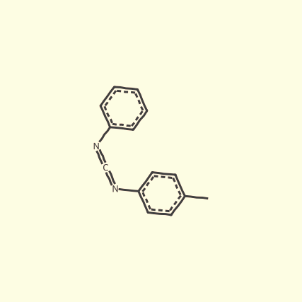 Cc1ccc(N=C=Nc2ccccc2)cc1